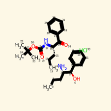 CCC[C@H](N)[C@H](O)c1ccccc1.CCC[C@H](NC(=O)OC(C)(C)C)C(=O)c1ccccc1.Cl